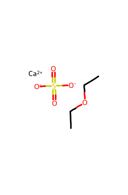 CCOCC.O=S(=O)([O-])[O-].[Ca+2]